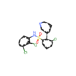 O=S(=O)(Nc1cccc(Cl)c1Cl)c1cccc(Cl)c1-c1cccnc1